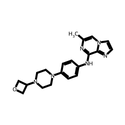 Cc1cn2ccnc2c(Nc2ccc(N3CCN(C4COC4)CC3)cc2)n1